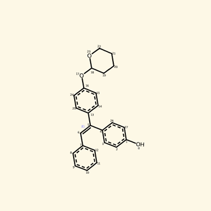 Oc1ccc(/C(=C\c2ccccc2)c2ccc(OC3CCCCO3)cc2)cc1